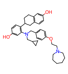 Oc1ccc2c(c1)CCC(c1ccc(O)cc1N(Cc1ccc(OCCN3CCCCCC3)cc1)CC1CC1)C2